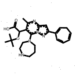 Cc1nc2cc(C3=CCC=CC=C3)nn2c(N2CCCNCC2)c1C(OC(C)(C)C)C(=O)O